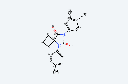 [C-]#[N+]c1ccc(N2C(=O)N(c3ccc(C)cc3)C3(CCC3)C2=O)cc1C(F)(F)F